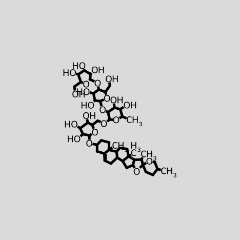 CC1CCC2(OC1)OC1CC3C4CC=C5CC(OC6OC(COC7OC(C)C(O)C(O)C7OC7OC(CO)C(OC8OC(CO)C(O)C(O)C8O)C(O)C7O)C(O)C(O)C6O)CCC5(C)C4CCC3(C)C1C2C